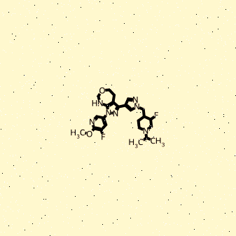 COc1ncc(-n2nc(-c3cnn(CC4CCN(C(C)C)CC4F)c3)c3c2NCOCC3)cc1F